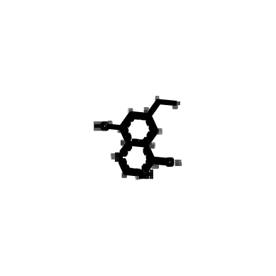 [CH2]Cc1cc(O)c2nc[nH]c(=O)c2c1